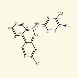 CC(=O)c1ccc2c(c1)nc(Nc1ccc(F)c(Cl)c1)c1ccncc12